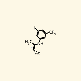 CC(=O)/C=C(/C)Nc1cc(I)cc(C(F)(F)F)c1